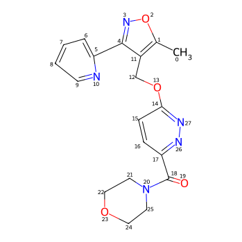 Cc1onc(-c2ccccn2)c1COc1ccc(C(=O)N2CCOCC2)nn1